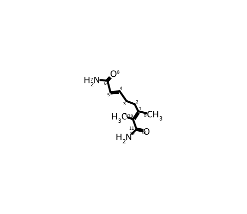 CC(CCC=CC(N)=O)=C(C)C(N)=O